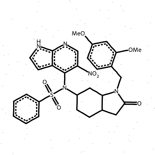 COc1ccc(CN2C(=O)CC3CCC(N(c4c([N+](=O)[O-])cnc5[nH]ccc45)S(=O)(=O)c4ccccc4)CC32)c(OC)c1